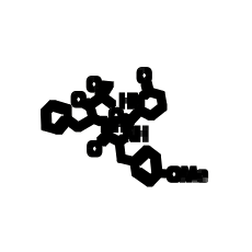 COc1ccc(CC(NC(=O)C2CCCC(=O)N2)C(=O)NC(Cc2ccccc2)C(=O)C2(C)CO2)cc1